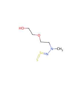 CN(CCOCCO)N=S=S